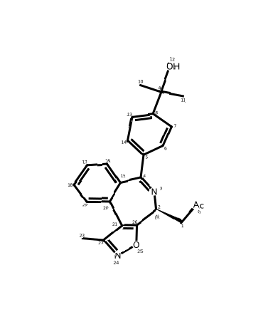 CC(=O)C[C@@H]1N=C(c2ccc(C(C)(C)O)cc2)c2ccccc2-c2c(C)noc21